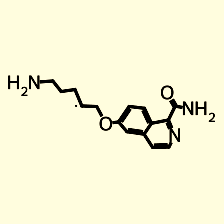 NCCC[CH]COc1ccc2c(C(N)=O)nccc2c1